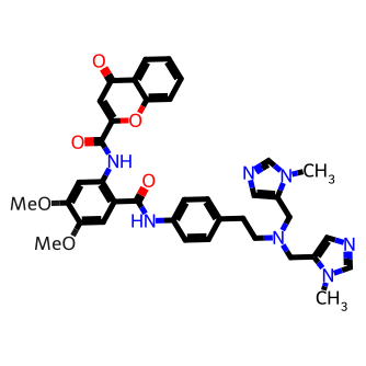 COc1cc(NC(=O)c2cc(=O)c3ccccc3o2)c(C(=O)Nc2ccc(CCN(Cc3cncn3C)Cc3cncn3C)cc2)cc1OC